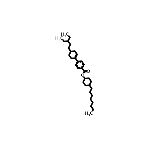 CCCCCCCCC1CCC(OC(=O)c2ccc(C3=CCC(CCC(CC)CC)CC3)cc2)CC1